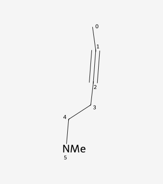 CC#CCCNC